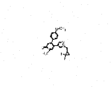 COc1ccc(-c2cc(=O)n(C)cc2-c2cnn(CC3CC3(F)F)c2)cc1